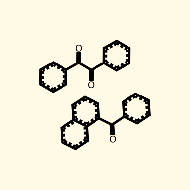 O=C(C(=O)c1ccccc1)c1ccccc1.O=C(c1ccccc1)c1cccc2ccccc12